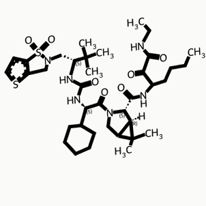 CCCCC(NC(=O)[C@@H]1[C@@H]2C(CN1C(=O)[C@@H](NC(=O)N[C@H](CN1Cc3sccc3S1(=O)=O)C(C)(C)C)C1CCCCC1)C2(C)C)C(=O)C(=O)NCC